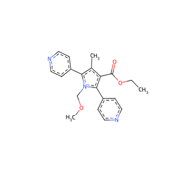 CCOC(=O)c1c(C)c(-c2ccncc2)n(COC)c1-c1ccncc1